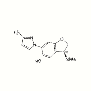 CN[C@@H]1COc2cc(-n3ccc(C(F)(F)F)n3)ccc21.Cl